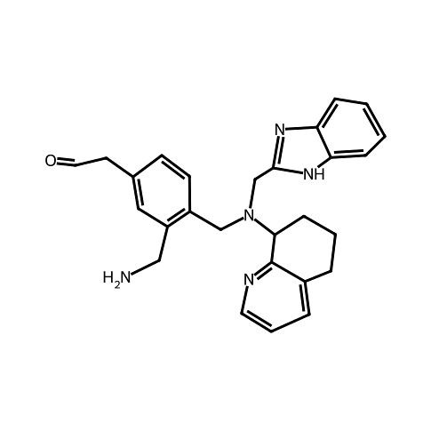 NCc1cc(CC=O)ccc1CN(Cc1nc2ccccc2[nH]1)C1CCCc2cccnc21